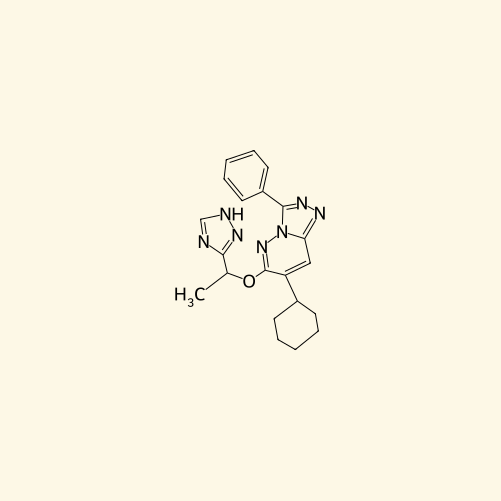 CC(Oc1nn2c(-c3ccccc3)nnc2cc1C1CCCCC1)c1nc[nH]n1